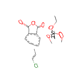 CC=CCl.CCO[SiH](OC)OC.O=C1OC(=O)c2ccccc21